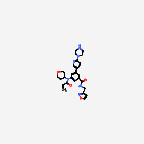 C=CC(=O)N(c1cc(C(=O)NCc2ccon2)cc(-c2ccc(N3CCNCC3)nc2)c1)C1CCOCC1